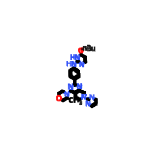 CCCCOC1C=CN=C(Nc2ccc(-c3nc4c(c(N5CCOC[C@@H]5C)n3)CCN(c3ncccn3)C4)cc2)N1